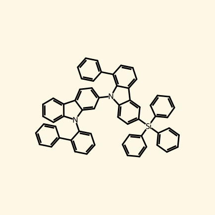 c1ccc(-c2ccccc2-n2c3ccccc3c3ccc(-n4c5ccc([Si](c6ccccc6)(c6ccccc6)c6ccccc6)cc5c5cccc(-c6ccccc6)c54)cc32)cc1